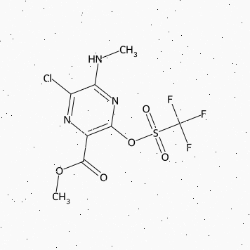 CNc1nc(OS(=O)(=O)C(F)(F)F)c(C(=O)OC)nc1Cl